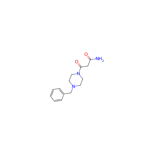 NC(=O)CC(=O)N1CCN(Cc2ccccc2)CC1